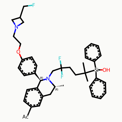 CC(=O)c1ccc2c(c1)C[C@@H](C)N(CC(F)(F)CCC(C)(C)[Si](O)(c1ccccc1)c1ccccc1)[C@@H]2c1ccc(OCCN2CC(CF)C2)cc1